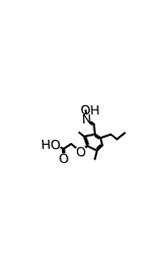 CCCc1cc(C)c(OCC(=O)O)c(C)c1C=NO